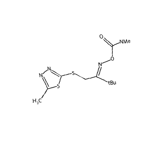 CNC(=O)ON=C(CSc1nnc(C)s1)C(C)(C)C